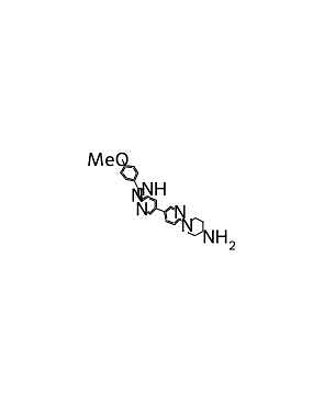 COc1ccc(-c2nc3ncc(-c4ccc(N5CCC(N)CC5)nc4)cc3[nH]2)cc1